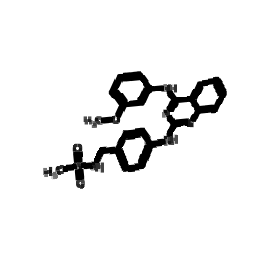 COc1cccc(Nc2nc(Nc3ccc(CNS(C)(=O)=O)cc3)nc3ccccc23)c1